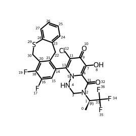 C[C@@H](N1CNn2c(c(O)c(=O)c(Cl)c2-c2cc(F)c(F)c3c2Cc2ccccc2SC3)C1=O)C(F)(F)F